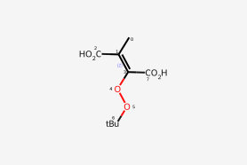 C/C(C(=O)O)=C(/OOC(C)(C)C)C(=O)O